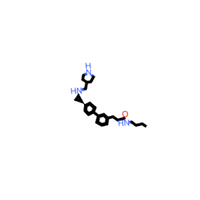 CCCCNC(=O)CCc1cccc(-c2ccc([C@@H]3C[C@H]3NCC3CCNCC3)cc2)c1